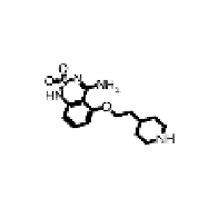 NC1=NS(=O)(=O)Nc2cccc(OCCC3CCNCC3)c21